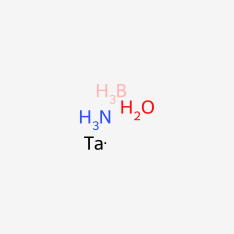 B.N.O.[Ta]